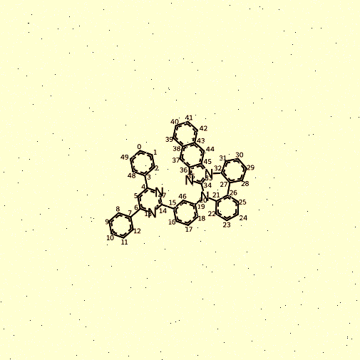 c1ccc(-c2cc(-c3ccccc3)nc(-c3cccc(N4c5ccccc5-c5ccccc5-n5c4nc4cc6ccccc6cc45)c3)n2)cc1